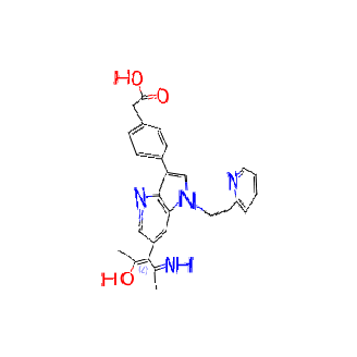 CC(=N)/C(=C(/C)O)c1cnc2c(-c3ccc(CC(=O)O)cc3)cn(Cc3ccccn3)c2c1